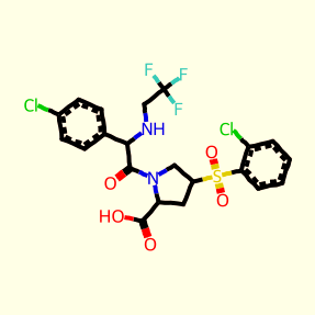 O=C(O)C1CC(S(=O)(=O)c2ccccc2Cl)CN1C(=O)C(NCC(F)(F)F)c1ccc(Cl)cc1